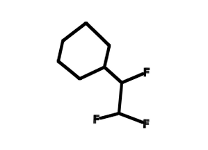 FC(F)C(F)C1CCCCC1